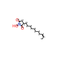 C/C=C\CCCCCCCCC1CC(=O)N(O)C1=O